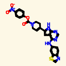 O=C(Oc1ccc([N+](=O)[O-])cc1)N1CC=C(c2cc3c(Nc4ccc5ncsc5c4)ncnc3[nH]2)CC1